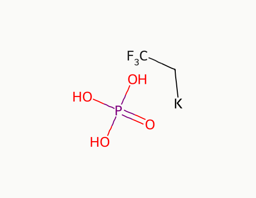 FC(F)(F)[CH2][K].O=P(O)(O)O